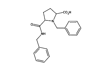 O=C(O)C1CCC(C(=O)NCc2ccccc2)N1Cc1ccccc1